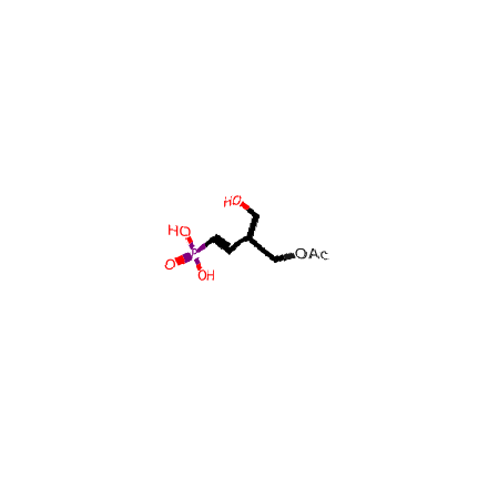 CC(=O)OCC(C=CP(=O)(O)O)CO